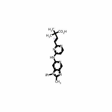 Cc1nc2cnc(Nc3ccnc(/C=C/C(C)(C)C(=O)O)n3)cc2n1C(C)C